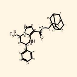 O=C(NCC12CC3CC(CC(C3)C1)C2)c1cnn2c1NC(c1ccccc1)CC2C(F)(F)F